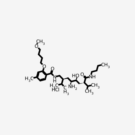 CCCCNC(=O)[C@@H](C[C@H](O)[C@@H](N)C[C@H](CNC(=O)c1ccc(C)cc1OCCCCOC)C(C)C)C(C)C.Cl